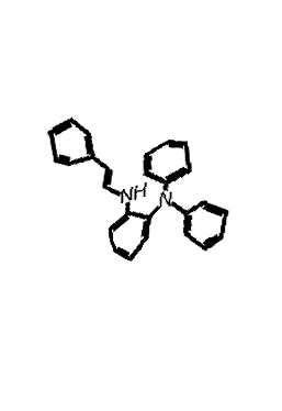 C(=Cc1ccccc1)Nc1ccccc1N(c1ccccc1)c1ccccc1